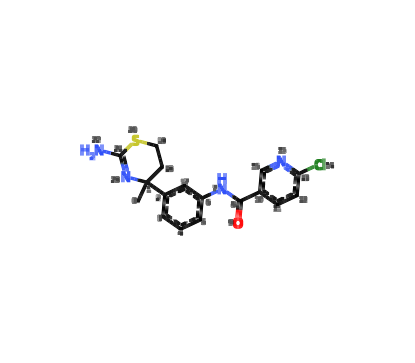 CC1(c2cccc(NC(=O)c3ccc(Cl)nc3)c2)CCSC(N)=N1